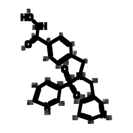 O=C(NO)c1ccc(CN(Cc2cccnc2)S(=O)(=O)c2cccnc2)cc1